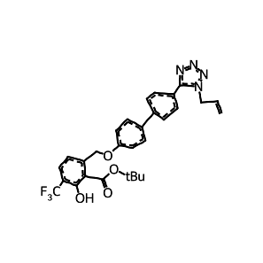 C=CCn1nnnc1-c1ccc(-c2ccc(OCc3ccc(C(F)(F)F)c(O)c3C(=O)OC(C)(C)C)cc2)cc1